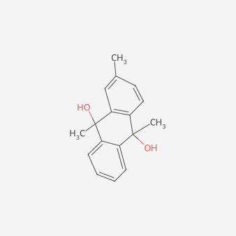 Cc1ccc2c(c1)C(C)(O)c1ccccc1C2(C)O